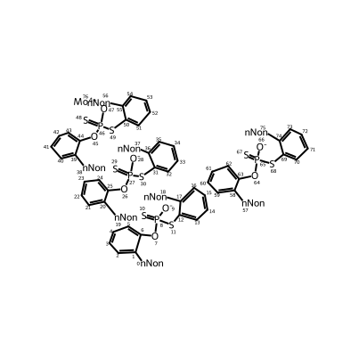 CCCCCCCCCc1ccccc1OP([O-])(=S)Sc1ccccc1CCCCCCCCC.CCCCCCCCCc1ccccc1OP([O-])(=S)Sc1ccccc1CCCCCCCCC.CCCCCCCCCc1ccccc1OP([O-])(=S)Sc1ccccc1CCCCCCCCC.CCCCCCCCCc1ccccc1OP([O-])(=S)Sc1ccccc1CCCCCCCCC.[Mo+4]